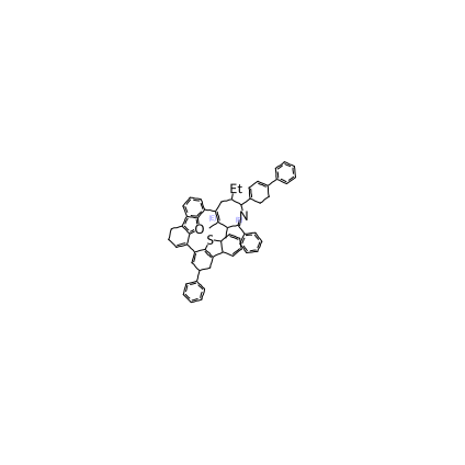 CCC1C/C(c2cccc3c4c(oc23)C(C2=CC(c3ccccc3)CC3=C2SC2C=CC=CC32)=CCC4)=C(/C)C(C)/C(c2ccccc2)=N\C1C1=CC=C(c2ccccc2)CC1